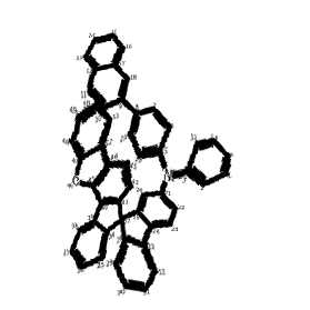 c1ccc(N(c2ccc(-c3ccc4ccccc4c3)cc2)c2ccc3c(c2)C2(c4ccccc4-3)c3ccccc3-c3c2ccc2c3oc3ccccc32)cc1